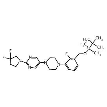 CC(C)(C)[Si](C)(C)OCc1cccc(N2CCN(c3cnc(N4CCC(F)(F)C4)nc3)CC2)c1F